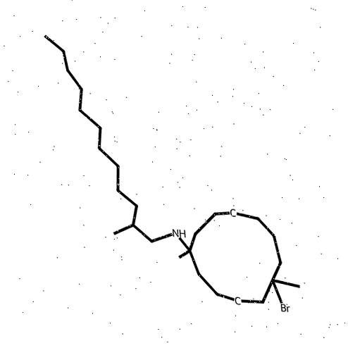 CCCCCCCCCCC(C)CNC1(C)CCCCCCC(C)(Br)CCCC1